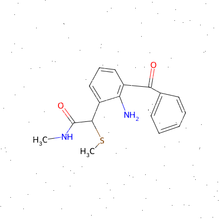 CNC(=O)C(SC)c1cccc(C(=O)c2ccccc2)c1N